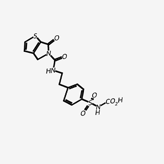 O=C(O)NS(=O)(=O)c1ccc(CCNC(=O)N2Cc3ccsc3C2=O)cc1